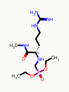 CCOP(=O)(CN[C@@H](CCCNC(=N)N)C(=O)NC)OCC